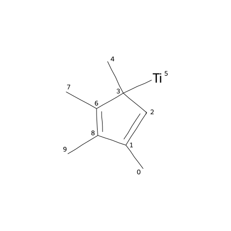 CC1=C[C](C)([Ti])C(C)=C1C